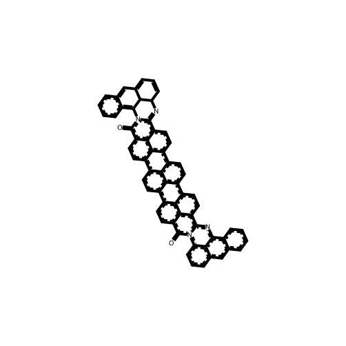 O=c1c2ccc3c4ccc5c6ccc7c(=O)n8c9cccc%10cc%11ccccc%11c(nc8c8ccc(c%11ccc(c%12ccc(c%13n1C1=c%14ccccc%14=CC%14=CC=CC(N=%13)C%141)c2c3%12)c4c5%11)c6c78)c%109